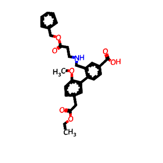 CCOC(=O)Cc1ccc(OC)c(-c2ccc(C(=O)O)cc2CNCCC(=O)OCc2ccccc2)c1